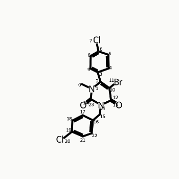 Cn1c(-c2ccc(Cl)cc2)c(Br)c(=O)n(Cc2ccc(Cl)cc2)c1=O